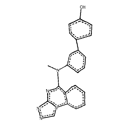 CN(c1cccc(-c2ccc(O)cc2)c1)c1nc2nncn2c2ccccc12